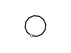 [CH]1CCCCC[CH]COCCC1